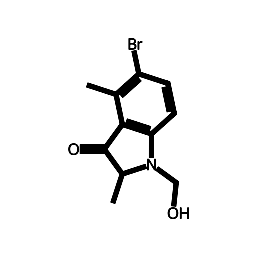 Cc1c(Br)ccc2c1C(=O)C(C)N2CO